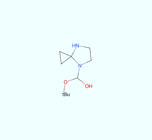 CC(C)(C)OC(O)N1CCNC12CC2